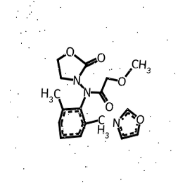 COCC(=O)N(c1c(C)cccc1C)N1CCOC1=O.c1cocn1